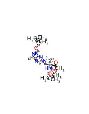 C[C@@H]1OCC2(CCN(c3cnc4c(I)nn(COCC[Si](C)(C)C)c4n3)CC2)[C@@H]1NC(=O)OC(C)(C)C